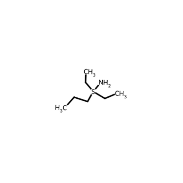 CCCS(N)(CC)CC